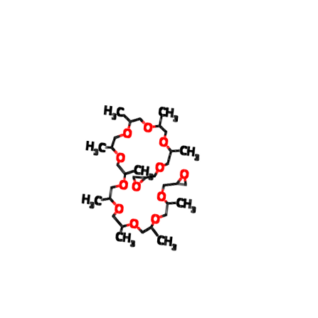 CC(COCC1CO1)OCC(C)OCC(C)OCC(C)OCC(C)OCC(C)OCC(C)OCC(C)OCC(C)OCC1CO1